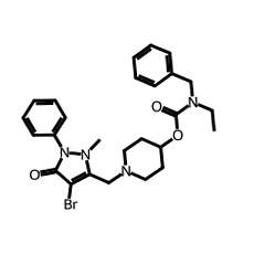 CCN(Cc1ccccc1)C(=O)OC1CCN(Cc2c(Br)c(=O)n(-c3ccccc3)n2C)CC1